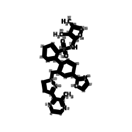 Cc1nccnc1-c1ccn(Cc2cc(-c3ncco3)ccc2-c2ccccc2S(=O)(=O)Nc2onc(C)c2C)n1